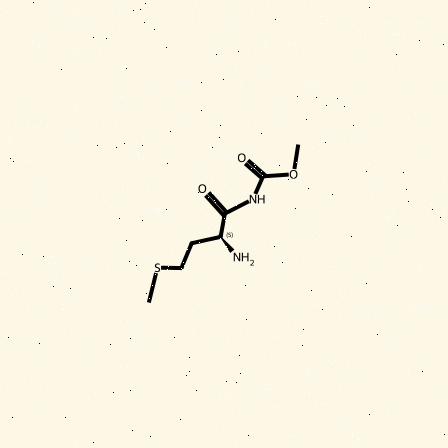 COC(=O)NC(=O)[C@@H](N)CCSC